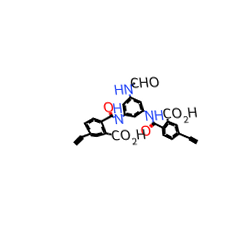 C#Cc1ccc(C(=O)Nc2cc(NC=O)cc(NC(=O)c3ccc(C#C)cc3C(=O)O)c2)c(C(=O)O)c1